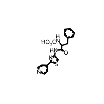 O=C(O)NC(Cc1ccccc1)C(=O)Nc1csc(-c2ccncc2)n1